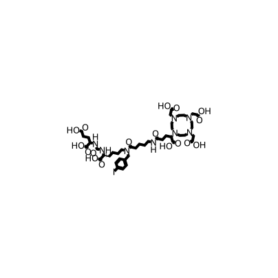 O=C(O)CCC(NC(=O)N[C@@H](CCCCN(Cc1ccc(I)cc1)C(=O)CCCCNC(=O)CCC(C(=O)O)N1CCN(CC(=O)O)CCN(CC(=O)O)CCN(CC(=O)O)CC1)C(=O)O)C(=O)O